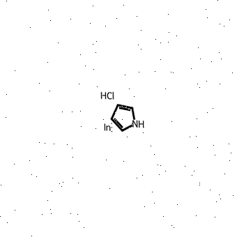 Cl.[In].c1cc[nH]c1